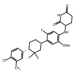 COc1cc(N2CC[C@@H](c3ccc(Cl)c(C)c3)C(F)(F)C2)c(F)cc1NC1CCC(=O)NC1=O